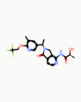 Cc1cc(C(C)N2Cc3c(ccnc3NC(=O)[C@H](C)O)C2=O)cnc1OCC(F)(F)F